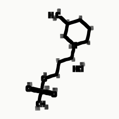 CC1CCCN(CCCOS(C)(=O)=O)C1.Cl